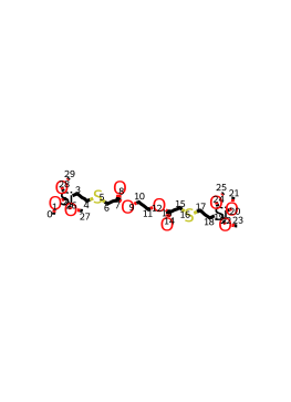 CO[Si](CCSCC(=O)OCCOC(=O)CSCC[Si](OC)(OC)OC)(OC)OC